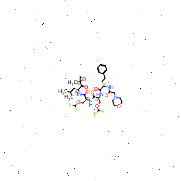 CC(C)C[C@H](NC(=O)[C@H](COC(F)F)NC(=O)[C@H](COC(F)F)NC(=O)[C@H](CCc1ccccc1)NC(=O)CN1CCOCC1)C(=O)[C@]1(C)CO1